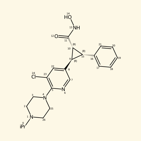 CC(C)N1CCN(c2ncc([C@H]3[C@H](C(=O)NO)[C@@H]3c3ccccc3)cc2Cl)CC1